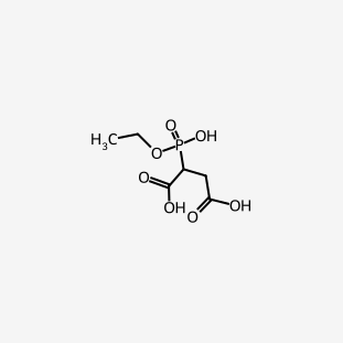 CCOP(=O)(O)C(CC(=O)O)C(=O)O